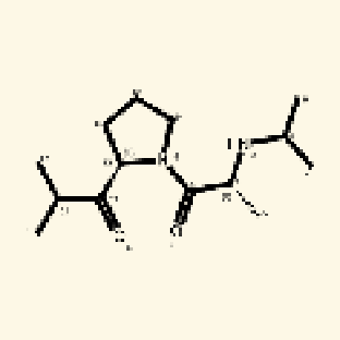 CC(C)N[C@H](C)C(=O)N1CCC[C@@H]1C(=O)C(C)C